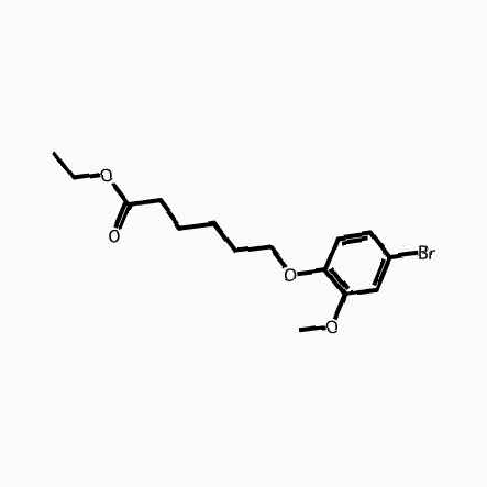 CCOC(=O)CCCCCOc1ccc(Br)cc1OC